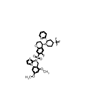 COc1ccc(CN(c2nccs2)S(=O)(=O)c2cc3c(cc2F)[C@H](N2CC[C@@H](C(F)(F)F)C[C@H]2c2ccccn2)CCO3)c(OC)c1